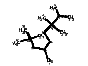 CC(CCC(C)(C)C(C)C)CC(C)(C)C